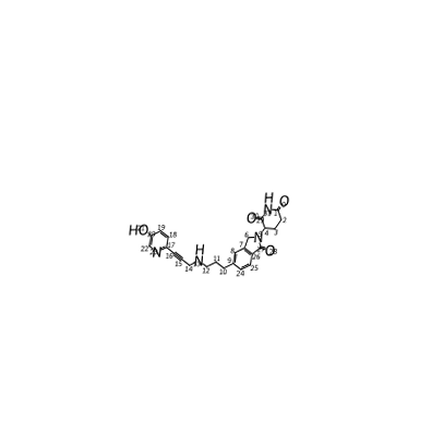 O=C1CCC(N2Cc3cc(CCCNCC#Cc4ccc(O)cn4)ccc3C2=O)C(=O)N1